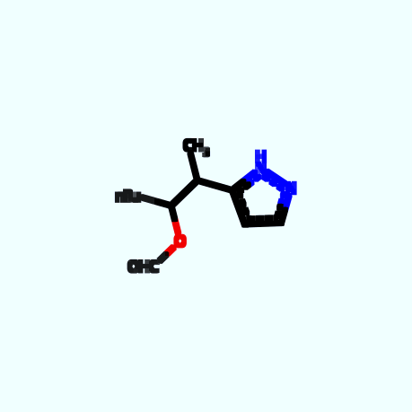 CCCCC(OC=O)C(C)c1ccn[nH]1